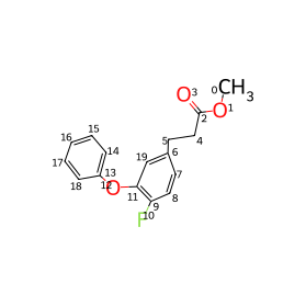 COC(=O)CCc1ccc(F)c(Oc2ccccc2)c1